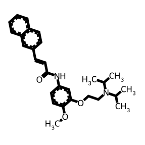 COc1ccc(NC(=O)/C=C/c2ccc3ccccc3c2)cc1OCCN(C(C)C)C(C)C